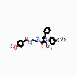 CCOc1ccc(C(=O)NCCNC(=O)c2cc(-c3ccccc3)n(-c3ccc(SC)cc3)c2C)cc1